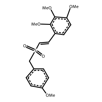 COc1ccc(CS(=O)(=O)C=Cc2ccc(OC)c(OC)c2OC)cc1